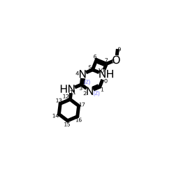 C/C=N\C(=N/C1C=C(OC)N1)NC1CCCCC1